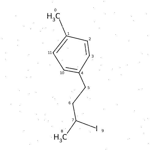 Cc1ccc(CCC(C)I)cc1